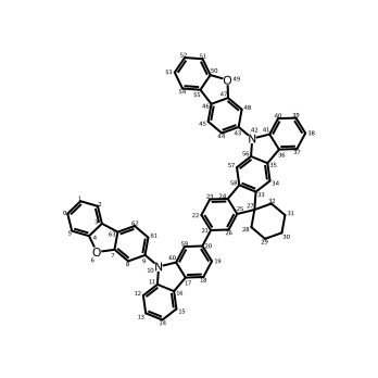 c1ccc2c(c1)oc1cc(-n3c4ccccc4c4ccc(-c5ccc6c(c5)C5(CCCCC5)c5cc7c8ccccc8n(-c8ccc9c(c8)oc8ccccc89)c7cc5-6)cc43)ccc12